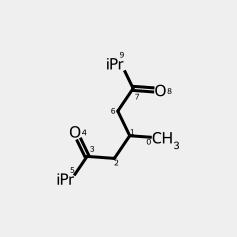 CC(CC(=O)C(C)C)CC(=O)C(C)C